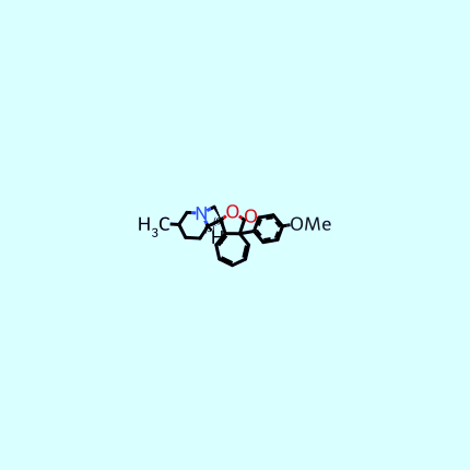 COc1ccc(C23C=CC=CC=C2[C@@]2(CN4CC(C)CC[C@H]42)OC3=O)cc1